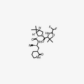 CC(C)(C)C(NC(=O)C(F)F)C(=O)N1C[C@H]2[C@@H]([C@H]1C(=O)N[C@H](C#N)C[C@@H]1CCCNC1=O)C2(C)C